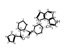 C[C@@H]1CCN(C(=O)[C@@H]2CCCC[C@@H]2C(=O)c2cccs2)C[C@@H]1n1ccc2cnc3[nH]ccc3c21